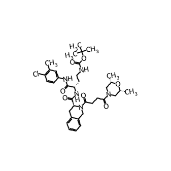 Cc1cc(NC(=O)[C@H](CCNC(=O)OC(C)(C)C)NC(=O)[C@@H]2Cc3ccccc3CN2C(=O)CCC(=O)N2C[C@@H](C)O[C@@H](C)C2)ccc1Cl